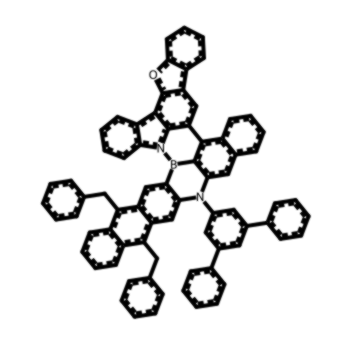 c1ccc(Cc2c3ccccc3c(Cc3ccccc3)c3cc4c(cc23)B2c3c(cc5ccccc5c3-c3cc5c6ccccc6oc5c5c6ccccc6n2c35)N4c2cc(-c3ccccc3)cc(-c3ccccc3)c2)cc1